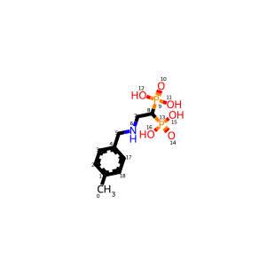 Cc1ccc(CNCC(P(=O)(O)O)P(=O)(O)O)cc1